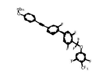 CCCCOc1ccc(C#Cc2ccc(-c3cc(F)c(C(F)(F)Oc4cc(F)c(C(F)(F)F)c(F)c4)c(F)c3)c(F)c2)cc1